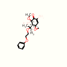 BC1=C[C@]2(CO2)[C@@H](C(C)(C)OCCOc2ccccc2)[C@](B)(OC)C1=O